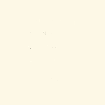 O=c1[nH]c2cc(Cl)n(-c3ccc(F)cc3)c2c(O)c1-c1ccc(F)cc1